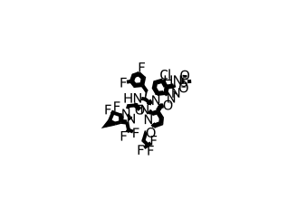 Cn1nc(NS(C)(=O)=O)c2c(Cl)ccc(-n3c([C@H](Cc4cc(F)cc(F)c4)NC(=O)Cn4nc(C(F)F)c5c4C(F)(F)C4CC54)nc4nc(OCCC(F)(F)F)ccc4c3=O)c21